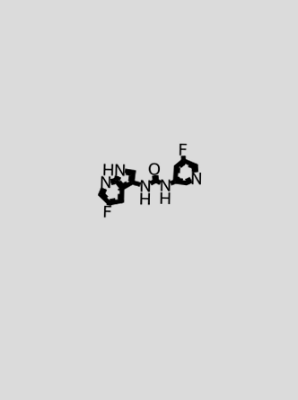 O=C(Nc1cncc(F)c1)Nc1c[nH]c2ncc(F)cc12